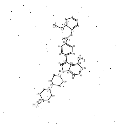 CCOc1ccccc1CNc1ccc(-c2nn([C@H]3CC[C@@H](N4CCN(C)CC4)CC3)c3ncnc(N)c23)cc1